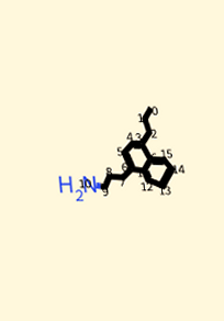 CCCc1ccc(CCCN)c2ccccc12